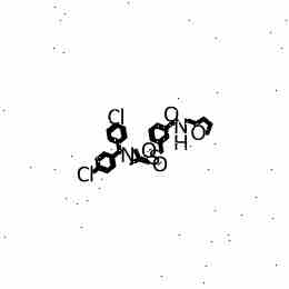 O=C(NCC1CCCO1)c1cccc(CS(=O)(=O)C=C2CN(C(c3ccc(Cl)cc3)c3ccc(Cl)cc3)C2)c1